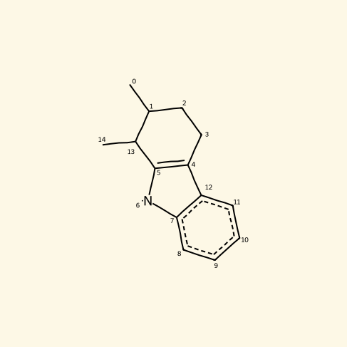 CC1CCC2=C([N]c3ccccc32)C1C